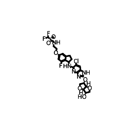 O=S(=O)(NCCOc1cc(F)c2c(c1)CCC2Nc1nc2nc(O[C@@H]3CO[C@H]4[C@@H]3OC[C@H]4O)[nH]c2cc1Cl)C(F)F